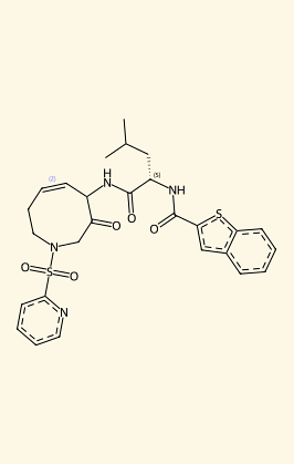 CC(C)C[C@H](NC(=O)c1cc2ccccc2s1)C(=O)NC1/C=C\CCN(S(=O)(=O)c2ccccn2)CC1=O